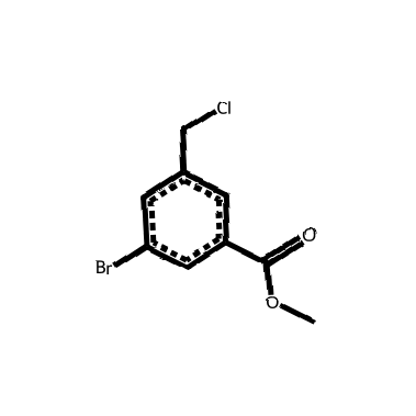 COC(=O)c1cc(Br)cc(CCl)c1